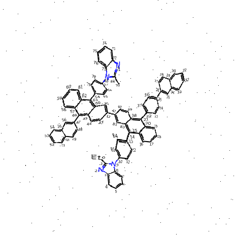 CCc1nc2ccccc2n1-c1ccc(-c2c3ccccc3c(-c3ccc(-c4ccc5ccccc5c4)cc3)c3ccc(-c4ccc5c(-c6ccc7ccccc7c6)c6ccccc6c(-c6ccc(-n7c(C)nc8ccccc87)cc6)c5c4)cc23)cc1